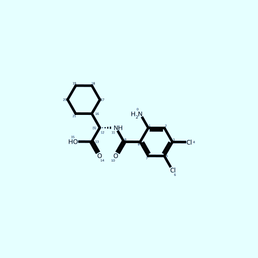 Nc1cc(Cl)c(Cl)cc1C(=O)N[C@H](C(=O)O)C1CCCCC1